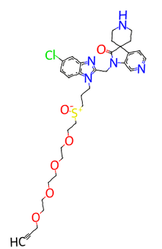 C#CCOCCOCCOCCOCC[S+]([O-])CCCn1c(CN2C(=O)C3(CCNCC3)c3ccncc32)nc2cc(Cl)ccc21